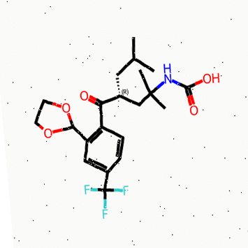 CC(C)C[C@H](CC(C)(C)NC(=O)O)C(=O)c1ccc(C(F)(F)F)cc1C1OCCO1